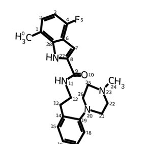 Cc1ccc(F)c2cc(C(=O)NCCc3ccccc3N3CCN(C)CC3)[nH]c12